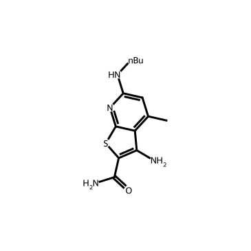 CCCCNc1cc(C)c2c(N)c(C(N)=O)sc2n1